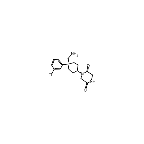 NC[C@]1(c2cccc(Cl)c2)CC[C@H](N2CC(=O)NCC2=O)CC1